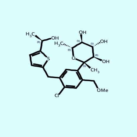 COCc1cc(Cl)c(Cc2ccc([C@@H](C)O)s2)cc1[C@]1(C)O[C@H](C)[C@@H](O)[C@H](O)[C@H]1O